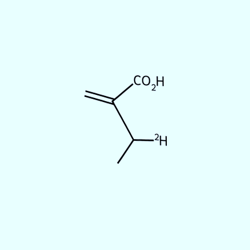 [2H]C(C)C(=C)C(=O)O